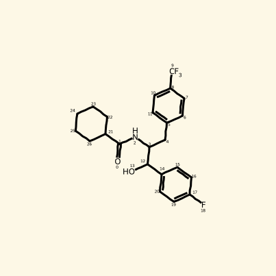 O=C(NC(Cc1ccc(C(F)(F)F)cc1)C(O)c1ccc(F)cc1)C1CCCCC1